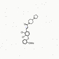 COc1ccccc1Sc1ccc(/C=C/C(=O)N2CCC(N3CCCC3)CC2)c(Cl)c1Cl